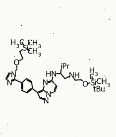 CC(C)C(CNCCO[Si](C)(C)C(C)(C)C)Nc1ccn2ncc(-c3ccc(-c4nccn4COCC[Si](C)(C)C)cc3)c2n1